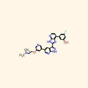 CN(C)CCOc1cncc(-c2cnc3[nH]nc(-c4nc5c(-c6cc(O)cc(F)c6)ccnc5[nH]4)c3c2)c1